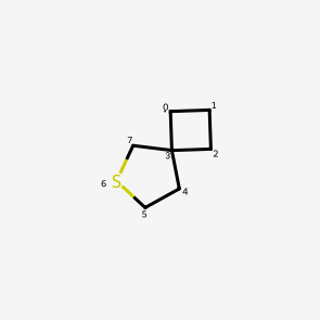 [CH]1CCC12CCSC2